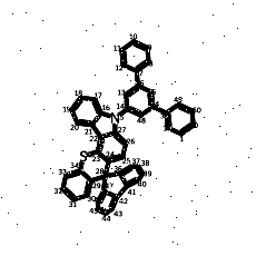 c1ccc(-c2cc(-c3ccccc3)cc(-n3c4ccccc4c4c5c(ccc43)C3(c4ccccc4S5)c4ccccc4-c4ccccc43)c2)cc1